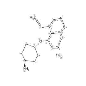 C=Cc1cncc2cccc(O[C@H]3CC[C@H](N)CC3)c12.Cl